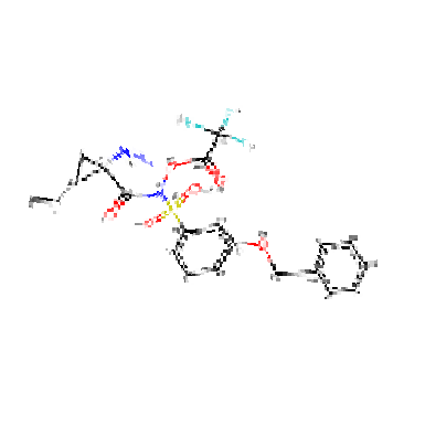 C=C[C@@H]1C[C@@]1(N)C(=O)N(OC(=O)C(F)(F)F)S(=O)(=O)c1cccc(OCc2ccccc2)c1